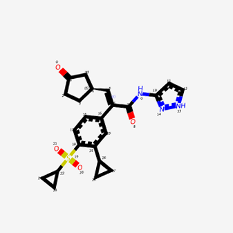 O=C1CC[C@H](/C=C(/C(=O)Nc2cc[nH]n2)c2ccc(S(=O)(=O)C3CC3)c(C3CC3)c2)C1